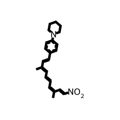 CC(C=Cc1ccc(N2CCCCC2)cc1)=CC=CC=C(C)C=C[N+](=O)[O-]